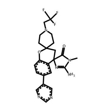 CN1C(=O)C2(CC3(CCN(CC(F)(F)F)CC3)Oc3ccc(-c4cncnc4)cc32)N=C1N